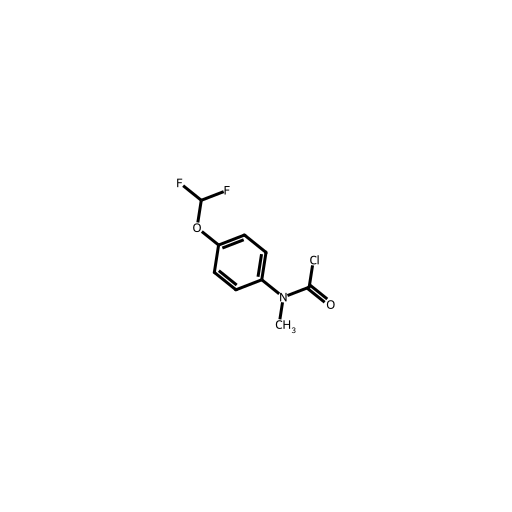 CN(C(=O)Cl)c1ccc(OC(F)F)cc1